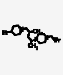 CCC1CCN(CC(C)CC(C)N2CCN(CC(C)C)CC2)CC1